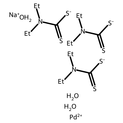 CCN(CC)C(=S)[S-].CCN(CC)C(=S)[S-].CCN(CC)C(=S)[S-].O.O.O.[Na+].[Pd+2]